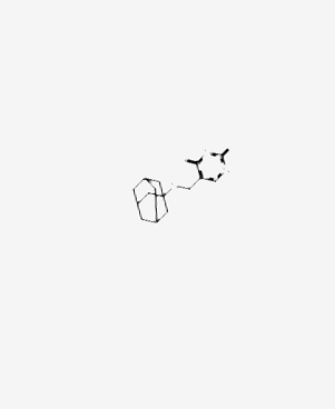 O=c1[nH]cc(CNC23CC4CC(CC(C4)C2)C3)c(=O)[nH]1